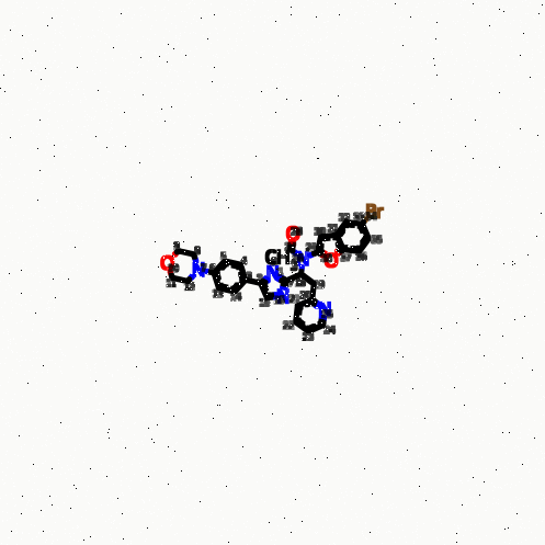 Cn1c(-c2ccc(N3CCOCC3)cc2)cnc1C(Cc1ccccn1)N(C=O)c1cc2cc(Br)ccc2o1